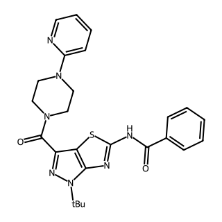 CC(C)(C)n1nc(C(=O)N2CCN(c3ccccn3)CC2)c2sc(NC(=O)c3ccccc3)nc21